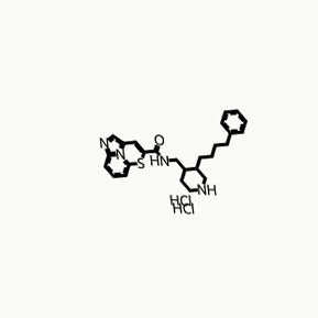 Cl.Cl.O=C(NCC1CCNCC1CCCCc1ccccc1)C1=Cc2cnc3cccc(n23)S1